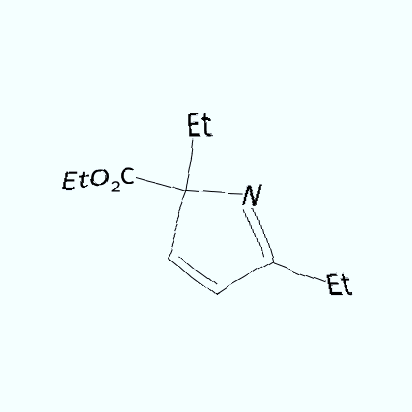 CCOC(=O)C1(CC)C=CC(CC)=N1